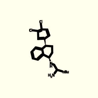 CCCCC(N)CN[C@H]1CC[C@@H](c2ccc(Cl)c(Cl)c2)c2ccccc21